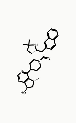 C[C@@H]1C[C@@H](O)c2ncnc(N3CCN(C(=O)[C@@H](c4ccc5ccccc5c4)[C@@H]4CCC(C)(C)N4)CC3)c21